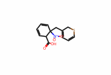 O=C(O)C1C=CC=CC1(CC1=CC=CSC1)[N+](=O)[O-]